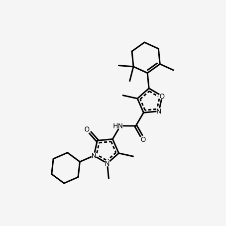 CC1=C(c2onc(C(=O)Nc3c(C)n(C)n(C4CCCCC4)c3=O)c2C)C(C)(C)CCC1